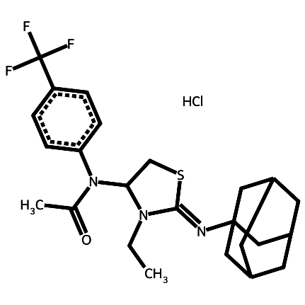 CCN1C(=NC23CC4CC(CC(C4)C2)C3)SCC1N(C(C)=O)c1ccc(C(F)(F)F)cc1.Cl